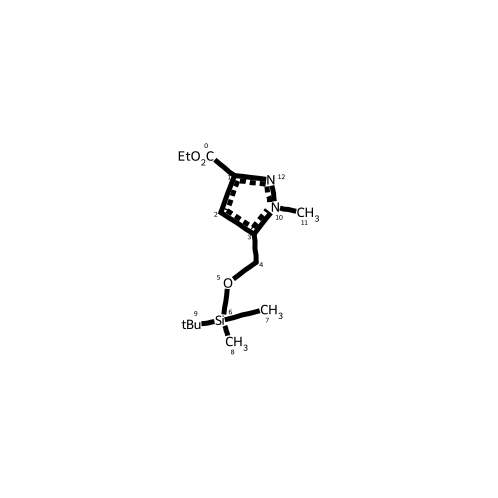 CCOC(=O)c1cc(CO[Si](C)(C)C(C)(C)C)n(C)n1